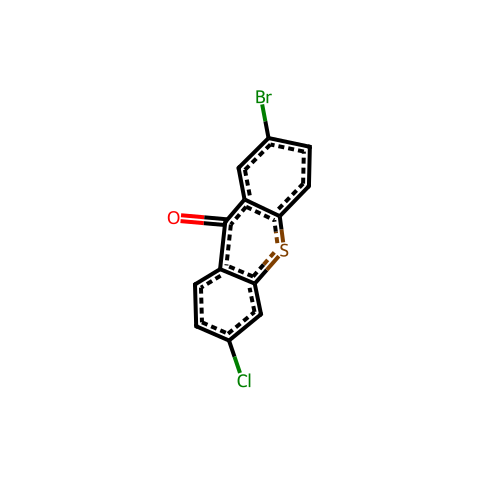 O=c1c2ccc(Cl)cc2sc2ccc(Br)cc12